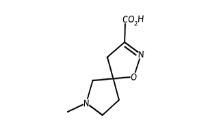 CN1CCC2(CC(C(=O)O)=NO2)C1